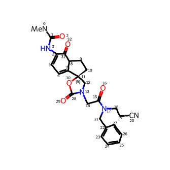 CNC(=O)NC1=CC=C2C(CC[C@]23CN(CC(=O)N(CCC#N)Cc2ccccc2)C(=O)O3)C1=O